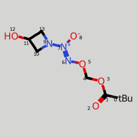 CC(C)(C)C(=O)OCON=[N+]([O-])N1CC(O)C1